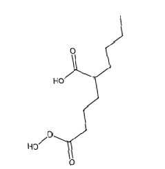 CCCCC(CCCC(=O)OO)C(=O)O